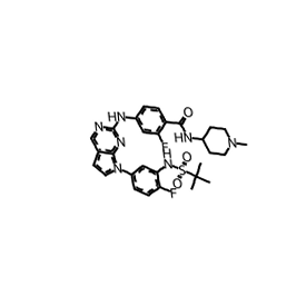 CN1CCC(NC(=O)c2ccc(Nc3ncc4ccn(-c5ccc(F)c(NS(=O)(=O)C(C)(C)C)c5)c4n3)cc2F)CC1